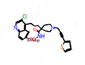 COc1ccc2ncc(Cl)c(CCCC3(C(=O)NO)CCN(CC#Cc4cccs4)CC3)c2c1